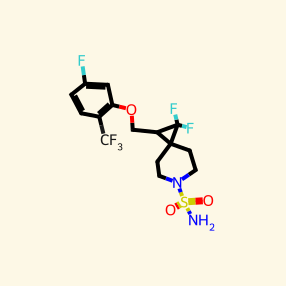 NS(=O)(=O)N1CCC2(CC1)C(COc1cc(F)ccc1C(F)(F)F)C2(F)F